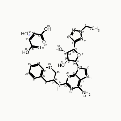 CCn1nnc([C@H]2O[C@@H](n3cnc4c(N)nc(N[C@H](CO)Cc5ccccc5)nc43)[C@H](O)[C@@H]2O)n1.Cl.O=C(O)/C=C\C(=O)O